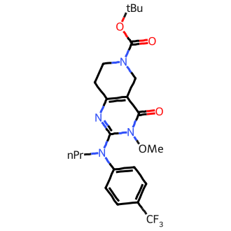 CCCN(c1ccc(C(F)(F)F)cc1)c1nc2c(c(=O)n1OC)CN(C(=O)OC(C)(C)C)CC2